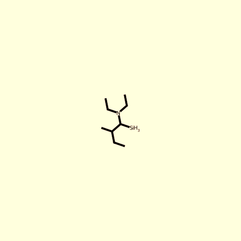 CCC(C)C([SiH3])N(CC)CC